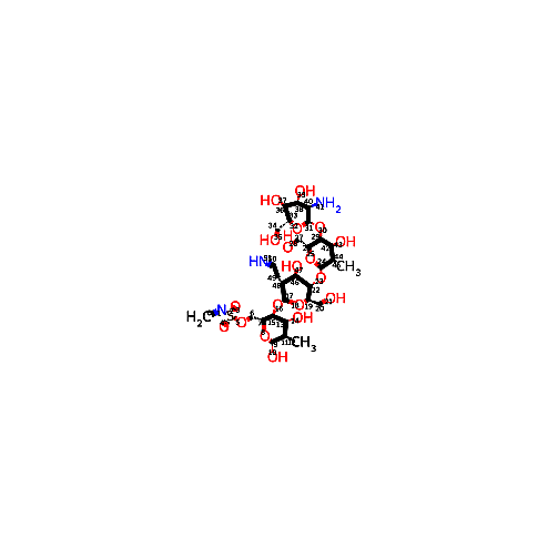 C=NS(=O)(=O)OC[C@H]1O[C@@H](O)[C@H](C)[C@@H](O)[C@@H]1O[C@@H]1O[C@H](CO)[C@@H](O[C@@H]2O[C@H](CO)[C@@H](O[C@@H]3O[C@H](CO)[C@@H](O)[C@H](O)[C@H]3N)[C@H](O)[C@H]2C)[C@H](O)[C@H]1CC=N